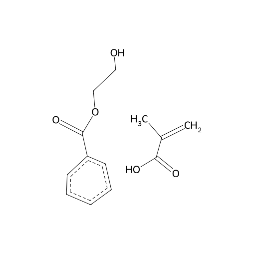 C=C(C)C(=O)O.O=C(OCCO)c1ccccc1